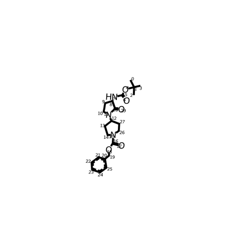 CC(C)(C)OC(=O)NC1CCN(C2CCN(C(=O)OCc3ccccc3)CC2)C1=O